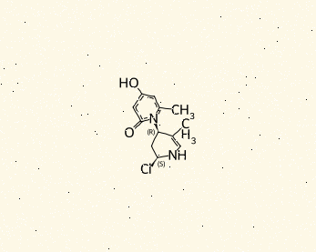 CC1=CN[C@@H](Cl)C[C@H]1n1c(C)cc(O)cc1=O